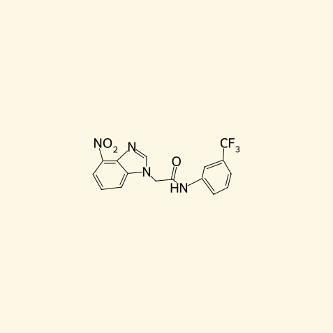 O=C(Cn1cnc2c([N+](=O)[O-])cccc21)Nc1cccc(C(F)(F)F)c1